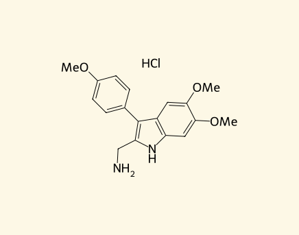 COc1ccc(-c2c(CN)[nH]c3cc(OC)c(OC)cc23)cc1.Cl